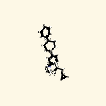 C=C(CC1CC1)n1ccc(N2CCC(c3ccccc3)CC2)c/c1=N/N